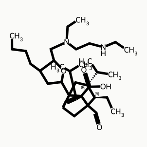 CCCCC1CC(C23C[C@H](C(C)C)[C@@H](CC)C4(C=O)CC2C=C(C(C)C)C34C(=O)O)OC1CN(CC)CCNCC